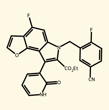 CCOC(=O)c1c(-c2ccc[nH]c2=O)c2c3occc3c(F)cc2n1Cc1cc(C#N)ccc1F